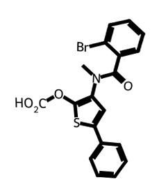 CN(C(=O)c1ccccc1Br)c1cc(-c2ccccc2)sc1OC(=O)O